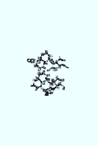 CC1=PC2=C(C)C=CC2=C1c1cccc2ccccc12.CC1=PC2=C(C)C=CC2=C1c1cccc2ccccc12.[Cl-].[Cl-].[Zr+2]